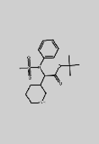 CC(C)(C)OC(=O)C(C1CCCNC1)N(c1ccccc1)S(C)(=O)=O